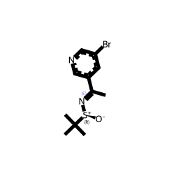 C/C(=N\[S@@+]([O-])C(C)(C)C)c1cncc(Br)c1